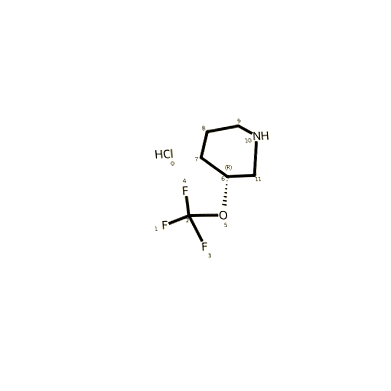 Cl.FC(F)(F)O[C@@H]1CCCNC1